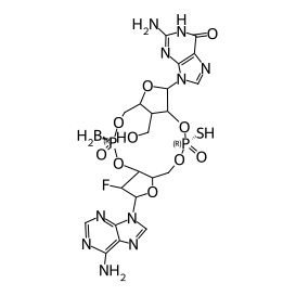 B[P@@]1(=O)OCC2OC(n3cnc4c(=O)[nH]c(N)nc43)C(O[P@](=O)(S)OCC3OC(n4cnc5c(N)ncnc54)C(F)C3O1)C2CO